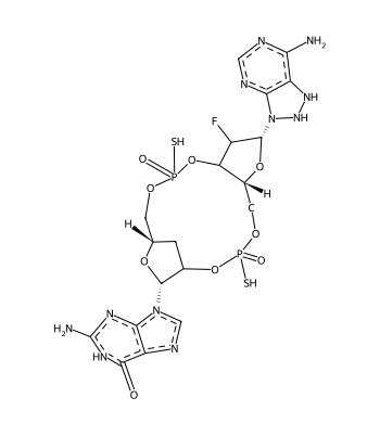 Nc1nc2c(ncn2[C@@H]2O[C@@H]3COP(=O)(S)OC4C(F)[C@H](N5NNc6c(N)ncnc65)O[C@@H]4COP(=O)(S)OC2C3)c(=O)[nH]1